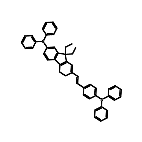 CCC1(CC)C2=C(CCC(/C=C/c3ccc(N(c4ccccc4)c4ccccc4)cc3)=C2)c2ccc(N(c3ccccc3)c3ccccc3)cc21